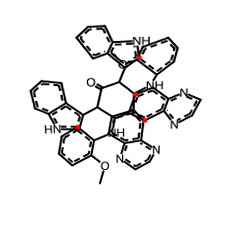 COc1ccccc1NC(c1ccc2nccnc2c1)C(C(=O)C(c1c[nH]c2ccccc12)C(Nc1ccccc1OC)c1ccc2nccnc2c1)c1c[nH]c2ccccc12